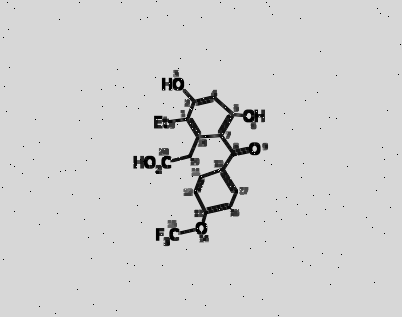 CCc1c(O)cc(O)c(C(=O)c2ccc(OC(F)(F)F)cc2)c1CC(=O)O